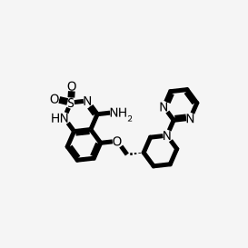 NC1=NS(=O)(=O)Nc2cccc(OC[C@H]3CCCN(c4ncccn4)C3)c21